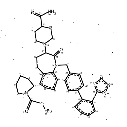 CC(C)(C)OC(=O)N1CCCCC1.NC(=O)C1CCN(C2CCc3ccccc3N(Cc3ccc(-c4ccccc4-c4nnn[nH]4)cc3)C2=O)CC1